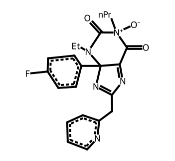 CCC[N+]1([O-])C(=O)C2=NC(Cc3ccccn3)=NC2(c2ccc(F)cc2)N(CC)C1=O